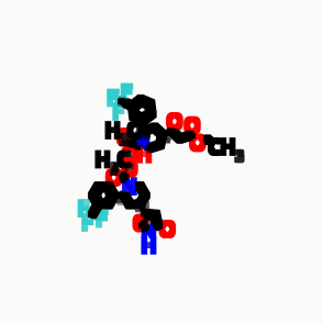 CCOC(=O)CC(=O)[C@H]1CCN(C(=O)O)[C@](C)(c2cccc(C(F)(F)F)c2)C1.COC(=O)N1CC[C@H](c2cc(=O)[nH]o2)C[C@H]1c1cccc(C(F)(F)F)c1